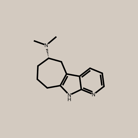 CN(C)[C@H]1CCCc2[nH]c3ncccc3c2C1